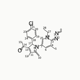 C=N/N=c1/c(C)cc(N2C(=C)C(C)=C(C(C)=O)C2c2ccc(Cl)cc2)cn1CC